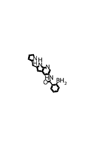 Bc1ccccc1C(=O)Nc1cnc2[nH]c(Cc3ccc[nH]3)cc2c1